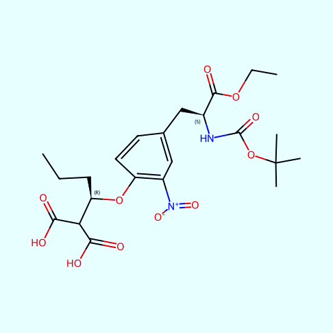 CCC[C@@H](Oc1ccc(C[C@H](NC(=O)OC(C)(C)C)C(=O)OCC)cc1[N+](=O)[O-])C(C(=O)O)C(=O)O